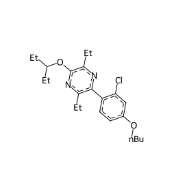 CCCCOc1ccc(-c2nc(CC)c(OC(CC)CC)nc2CC)c(Cl)c1